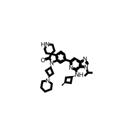 CC(C)n1cnc2cc(-c3ccc4c(c3)N([C@H]3C[C@@H](N5CCCCC5)C3)C(=O)C43CCNCC3)nc(N[C@H]3C[C@H](C)C3)c21